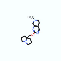 O=C(O)N1CCc2cnc(OCC34CCCN3CCC4)nc2C1